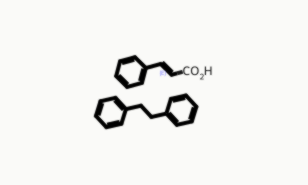 O=C(O)/C=C/c1ccccc1.c1ccc(CCc2ccccc2)cc1